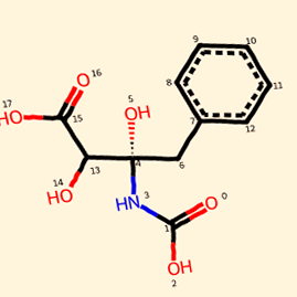 O=C(O)N[C@](O)(Cc1ccccc1)C(O)C(=O)O